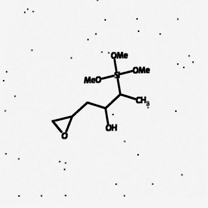 CO[Si](OC)(OC)C(C)C(O)CC1CO1